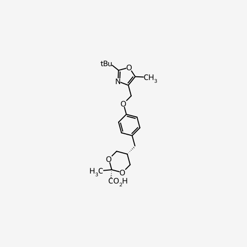 Cc1oc(C(C)(C)C)nc1COc1ccc(C[C@H]2CO[C@@](C)(C(=O)O)OC2)cc1